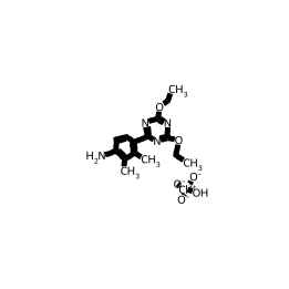 CCOc1nc(OCC)nc(-c2ccc(N)c(C)c2C)n1.[O-][Cl+3]([O-])([O-])O